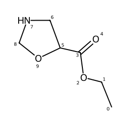 CCOC(=O)C1CNCO1